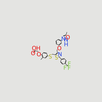 CC1=CN(c2cccc(OCc3nc(-c4ccc(C(F)(F)F)cc4)sc3CSc3ccc(OCC(=O)O)c(C)c3)c2)NO1